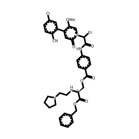 CCC(C(=O)Nc1ccc(C(=O)OC[C@H](NCCN2CCCC2)C(=O)OCc2ccccc2)cc1)n1cc(OC)c(-c2cc(Cl)ccc2C#N)cc1=O